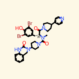 CN(C(=O)N1CCC(N2Cc3ccccc3NC2=O)CC1)[C@H](Cc1cc(Br)c(O)c(Br)c1)C(=O)N1CCC(c2ccncc2)CC1